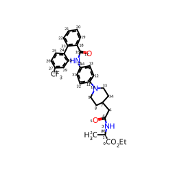 CCOC(=O)[C@@H](C)NC(=O)CC1CCN(c2ccc(NC(=O)c3ccccc3-c3ccc(C(F)(F)F)cc3)cc2)CC1